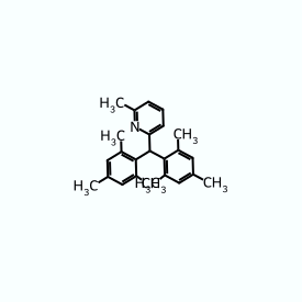 Cc1cc(C)c(C(c2cccc(C)n2)c2c(C)cc(C)cc2C)c(C)c1